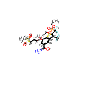 CCOP(=O)(OCC)C(F)(F)c1sc2c(OCCCS(C)(=O)=O)cc(C(N)=O)cc2c1C(F)F